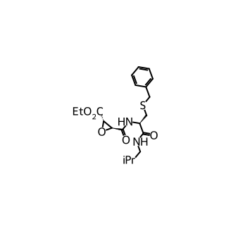 CCOC(=O)[C@H]1O[C@@H]1C(=O)N[C@@H](CSCc1ccccc1)C(=O)NCC(C)C